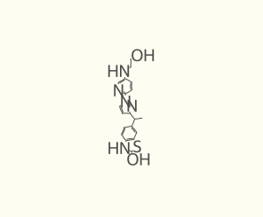 CC(c1ccc2c(c1)SC(O)N2)c1ccn(-c2ccc(NCCO)cn2)n1